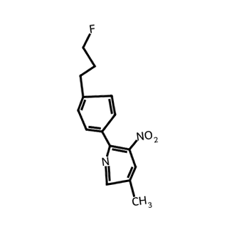 Cc1cnc(-c2ccc(CCCF)cc2)c([N+](=O)[O-])c1